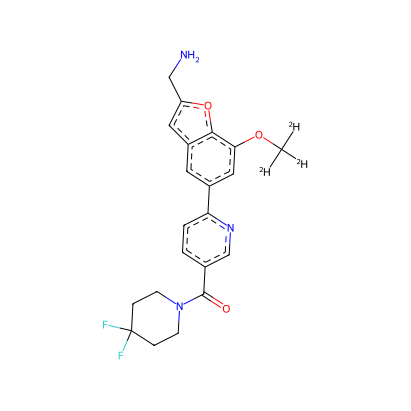 [2H]C([2H])([2H])Oc1cc(-c2ccc(C(=O)N3CCC(F)(F)CC3)cn2)cc2cc(CN)oc12